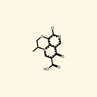 CC1COc2c(Cl)ncc3c(=O)c(C(=O)O)cn1c23